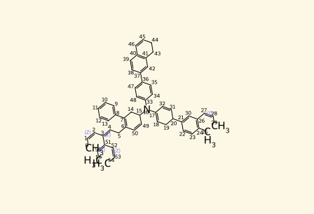 C\C=C/C(=C/CC1=C(c2ccccc2)CC(N(C2=CCC(c3ccc(C)c(/C=C\C)c3)C=C2)c2ccc(-c3ccc4c(c3)CCC=C4)cc2)C=C1)C(/C=C\C)=C/C